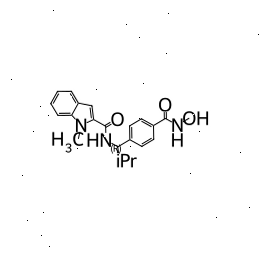 CC(C)[C@@H](NC(=O)c1cc2ccccc2n1C)c1ccc(C(=O)NO)cc1